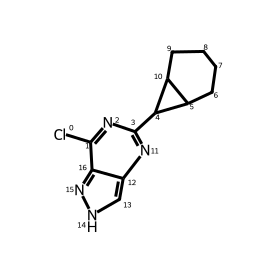 Clc1nc(C2C3CCCCC32)nc2c[nH]nc12